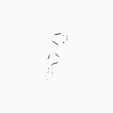 c1cncc(-c2ccc(N3CCC3)cc2)c1